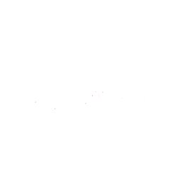 CCCCC(CC)COc1ccc(CC)cc1